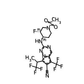 CC(c1c(C#N)c(C(F)(F)F)c2cnc(N[C@@H]3CCN(S(C)(=O)=O)C[C@H]3F)nn12)C(F)(F)F